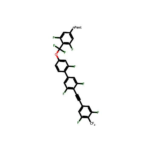 CCCCCc1cc(F)c(C(F)(F)Oc2ccc(-c3cc(F)c(C#Cc4cc(F)c(C(F)(F)F)c(F)c4)c(F)c3)c(F)c2)c(F)c1